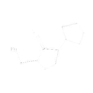 CC(C)(C)CC1CCC(C2CCCC2)C1=O